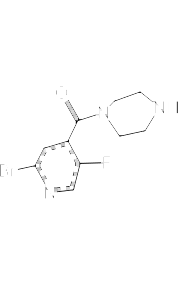 O=C(c1cc(Br)ncc1F)N1CCNCC1